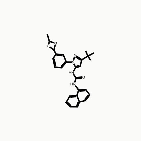 CC1OC(c2cccc(-n3nc(C(C)(C)C)cc3NC(=O)Nc3cccc4ccccc34)c2)O1